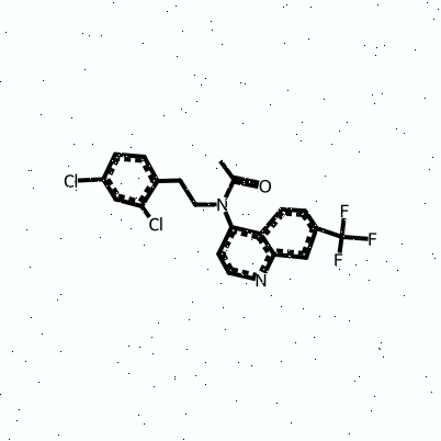 CC(=O)N(CCc1ccc(Cl)cc1Cl)c1ccnc2cc(C(F)(F)F)ccc12